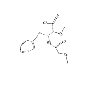 COCC(=O)NC(Cc1ccccc1)C(OC)C(=O)Cl